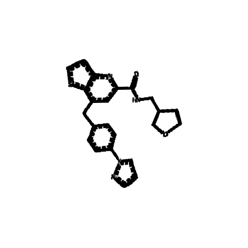 O=C(NCC1CCOC1)c1cc(Cc2ccc(-n3cccn3)cc2)c2sccc2n1